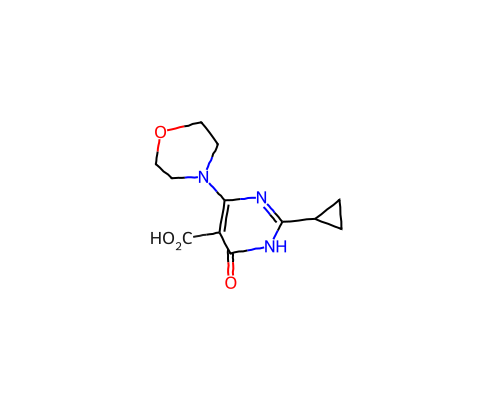 O=C(O)c1c(N2CCOCC2)nc(C2CC2)[nH]c1=O